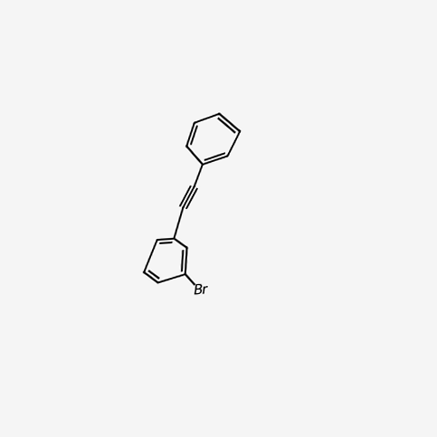 Brc1cccc(C#Cc2ccccc2)c1